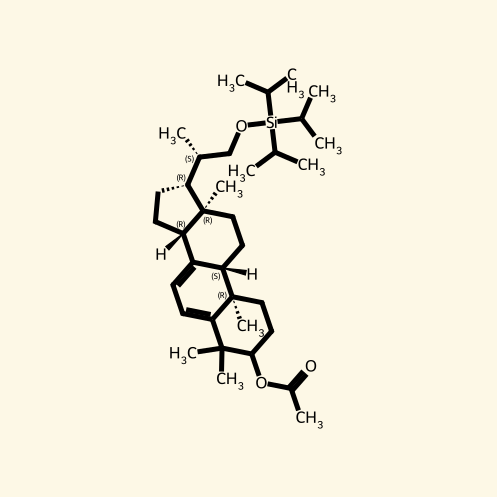 CC(=O)OC1CC[C@@]2(C)C(=CC=C3[C@@H]4CC[C@H]([C@H](C)CO[Si](C(C)C)(C(C)C)C(C)C)[C@@]4(C)CC[C@@H]32)C1(C)C